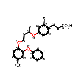 CCc1ccc(OCCC(C)Oc2ccc(CCC(=O)O)c(C)c2)c(Oc2ccccc2)c1